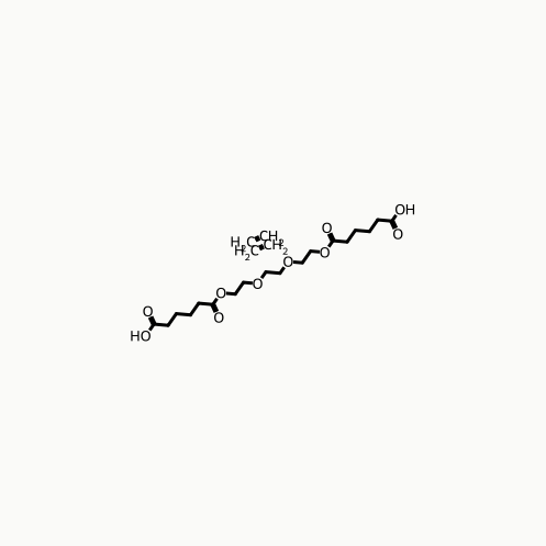 C=C.C=C.O=C(O)CCCCC(=O)OCCOCCOCCOC(=O)CCCCC(=O)O